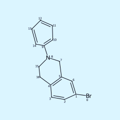 Brc1ccc2c(c1)CN(c1ccccc1)CC2